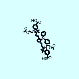 CC(=O)OCCN1/C(=C\C=C2/CCC(/C=C/C3=[N+](CCOC(C)=O)c4ccc(C(=O)O)cc4C3(C)C)=C2N(C2=CCCC=C2)c2ccccc2)C(C)(C)c2cc(C(=O)O)ccc21